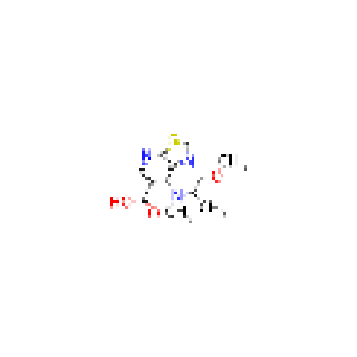 COCC(C)N(C)c1c(C(=O)O)cnc2scnc12